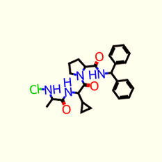 CC(NCl)C(=O)NC(C(=O)N1CCCC1C(=O)NC(c1ccccc1)c1ccccc1)C1CC1